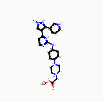 CCn1cc(-c2ccnc(Nc3ccc(N4CCN(CC(=O)OC(C)(C)C)CC4)cc3)n2)c(-c2cccnc2)n1